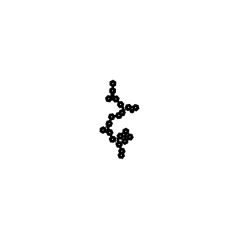 CC1(C)c2ccccc2-c2ccc(N(c3ccc(-c4ccc5c(c4)c4ccccc4n5-c4ccc(-c5ccccc5)cc4)cc3)c3ccc4ccc(-c5cccc(-c6ccc(-n7c8ccccc8c8cc(-c9cccc(N(c%10ccc(-c%11ccc%12ccccc%12c%11)cc%10)c%10ccc%11c(c%10)C(c%10ccccc%10)(c%10ccccc%10)c%10ccccc%10-%11)c9)ccc87)cc6)c5)cc4c3)cc21